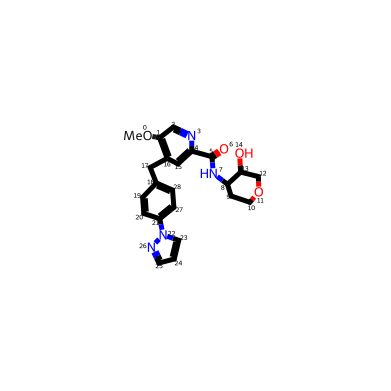 COc1cnc(C(=O)NC2CCOCC2O)cc1Cc1ccc(-n2cccn2)cc1